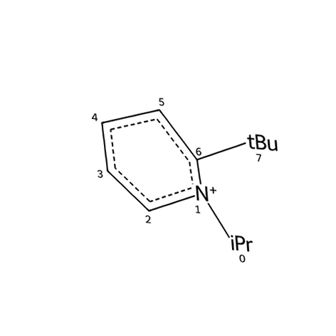 CC(C)[n+]1ccccc1C(C)(C)C